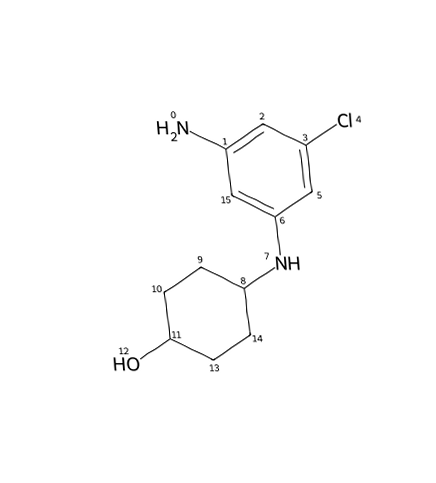 Nc1cc(Cl)cc(NC2CCC(O)CC2)c1